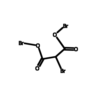 O=C(OBr)C(Br)C(=O)OBr